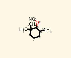 CC1CCCC(C)(C)C1OC#N